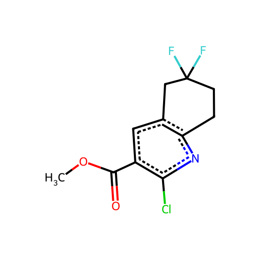 COC(=O)c1cc2c(nc1Cl)CCC(F)(F)C2